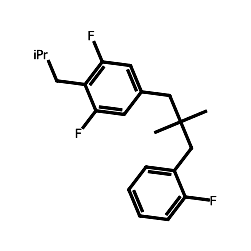 CC(C)Cc1c(F)cc(CC(C)(C)Cc2ccccc2F)cc1F